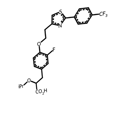 CC(C)OC(Cc1ccc(OCCc2csc(-c3ccc(C(F)(F)F)cc3)n2)c(F)c1)C(=O)O